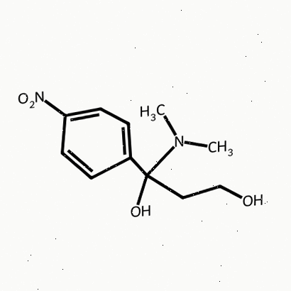 CN(C)C(O)(CCO)c1ccc([N+](=O)[O-])cc1